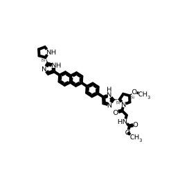 COC(=O)NCC(=O)N1C[C@@H](OC)C[C@H]1c1ncc(-c2ccc(-c3ccc4cc(-c5cnc([C@@H]6CCCN6)[nH]5)ccc4c3)cc2)[nH]1